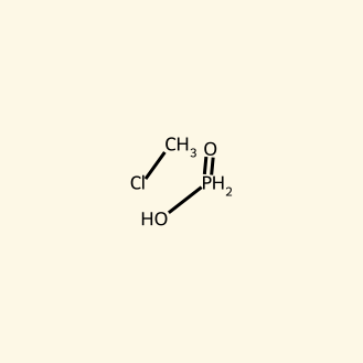 CCl.O=[PH2]O